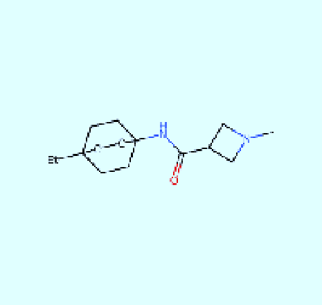 CCC12CCC(NC(=O)C3CN(C)C3)(CC1)CC2